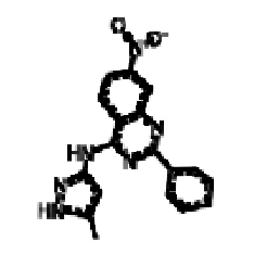 Cc1cc(Nc2nc(-c3ccccc3)nc3cc([N+](=O)[O-])ccc23)n[nH]1